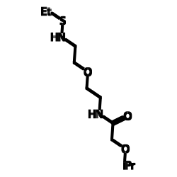 CCSNCCOCCNC(=O)COC(C)C